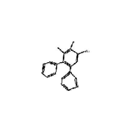 CCCCc1cc(-c2ccccc2)c(-c2ccccc2)c(C)c1C